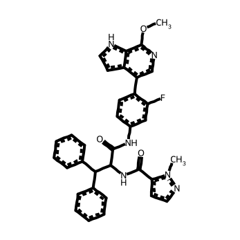 COc1ncc(-c2ccc(NC(=O)C(NC(=O)c3ccnn3C)C(c3ccccc3)c3ccccc3)cc2F)c2cc[nH]c12